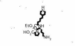 CCOC(=O)C(CCCCC1CCNCC1)N[C@@H](CCCCN)C(=O)N1CCC[C@H]1C(=O)O